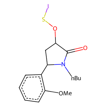 CCCCN1C(=O)C(OSI)CC1c1ccccc1OC